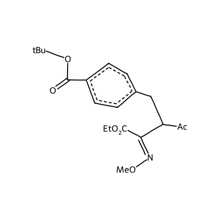 CCOC(=O)/C(=N\OC)C(Cc1ccc(C(=O)OC(C)(C)C)cc1)C(C)=O